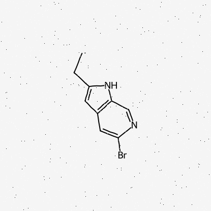 [CH2]Cc1cc2cc(Br)ncc2[nH]1